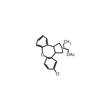 CC(=O)OC[N+]1(C)CC2c3ccccc3Oc3ccc(Cl)cc3C2C1